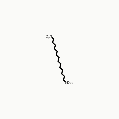 CCCCCCCCCCCCCCCCCCCCCCCC[N+](=O)[O-]